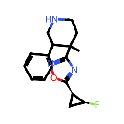 CC1(c2noc([C@@H]3C[C@@H]3F)n2)CCNCC1c1ccccc1